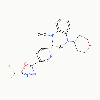 CN(c1ccccc1N(C=O)Cc1ccc(-c2nnc(C(F)F)o2)cn1)C1CCOCC1